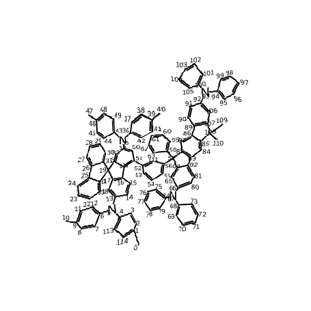 Cc1ccc(N(c2ccc(C)cc2)c2ccc3c(c2)C2(c4ccccc4-c4ccccc42)c2cc(N(c4ccc(C)cc4)c4ccc(C)cc4)cc(-c4cccc(C5(c6ccccc6)c6cc(N(c7ccccc7)c7ccccc7)ccc6-c6cc7c(cc65)-c5ccc(N(c6ccccc6)c6ccccc6)cc5C7(C)C)c4)c2-3)cc1